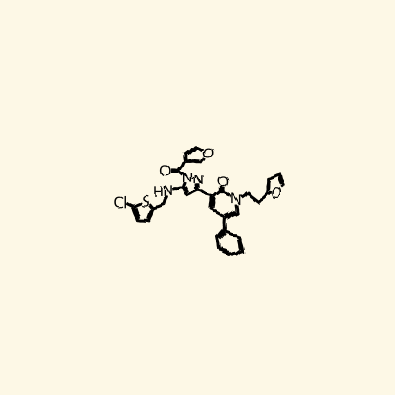 O=C(c1ccoc1)n1nc(-c2cc(-c3ccccc3)cn(CCc3ccco3)c2=O)cc1NCc1ccc(Cl)s1